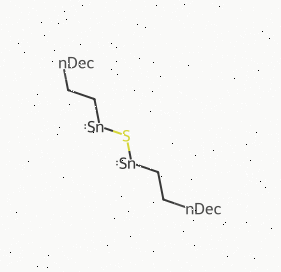 CCCCCCCCCCC[CH2][Sn][S][Sn][CH2]CCCCCCCCCCC